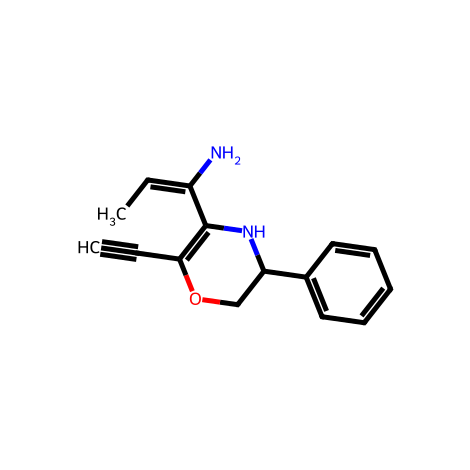 C#CC1=C(/C(N)=C\C)NC(c2ccccc2)CO1